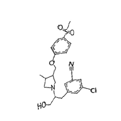 CC1CN(C(CO)Cc2cc(Cl)cc(C#N)c2)CC1COc1ccc(S(C)(=O)=O)cc1